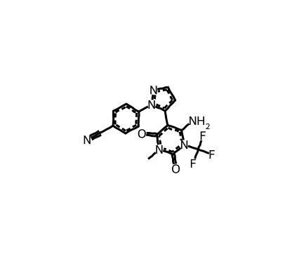 Cn1c(=O)c(-c2ccnn2-c2ccc(C#N)cc2)c(N)n(C(F)(F)F)c1=O